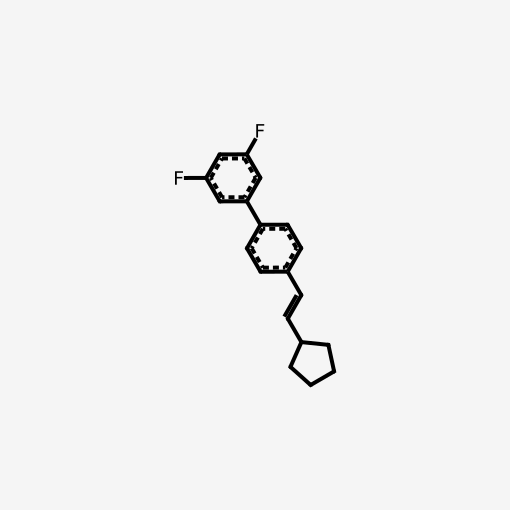 Fc1cc(F)cc(-c2ccc(C=CC3CCCC3)cc2)c1